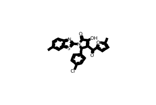 Cc1ccc2nc(N3C(=O)C(O)=C(C(=O)c4ccc(C)o4)C3c3ccc(Cl)cc3)sc2c1